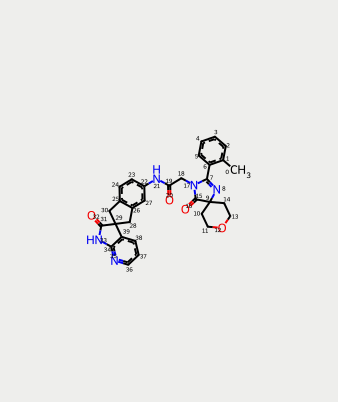 Cc1ccccc1C1=NC2(CCOCC2)C(=O)N1CC(=O)Nc1ccc2c(c1)CC1(C2)C(=O)Nc2ncccc21